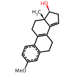 COc1ccc2c(c1)CCC1=C2CC[C@@]2(C)C1=CC[C@@H]2O